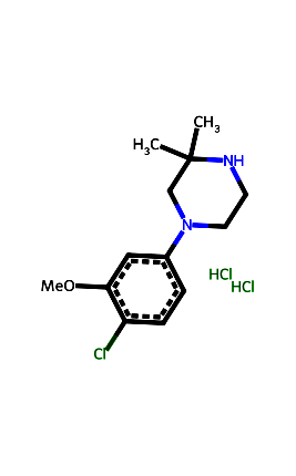 COc1cc(N2CCNC(C)(C)C2)ccc1Cl.Cl.Cl